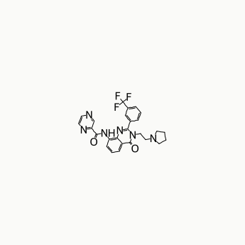 O=C(Nc1cccc2c(=O)n(CCN3CCCC3)c(-c3cccc(C(F)(F)F)c3)nc12)c1cnccn1